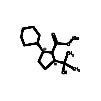 CC(C)(C)OC(=O)N1[C@H](C2CCCCC2)CC[C@@H]1C(C)(C)C#N